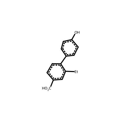 CCc1cc(C(=O)O)ccc1-c1ccc(O)cc1